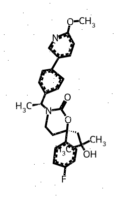 COc1ccc(-c2ccc([C@H](C)N3CC[C@](CC(C)(C)O)(c4ccc(F)cc4)OC3=O)cc2)cn1